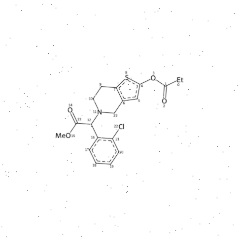 CCC(=O)Oc1cc2c(s1)CCN(C(C(=O)OC)c1ccccc1Cl)C2